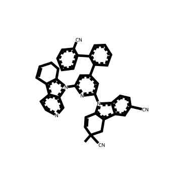 CC1(C#N)C=Cc2c(c3cc(C#N)ccc3n2-c2cc(-c3ccccc3-c3ccccc3C#N)cc(-n3c4c(c5ccncc53)C=CCC4)n2)C1